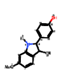 CCN1c2cc(OC)ccc2C(C#N)C1c1ccc(O)cc1